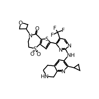 O=C1c2sc(-c3nc(Nc4cc5c(nc4C4CC4)CNCC5)ncc3C(F)(F)F)cc2S(=O)(=O)CCN1C1COC1